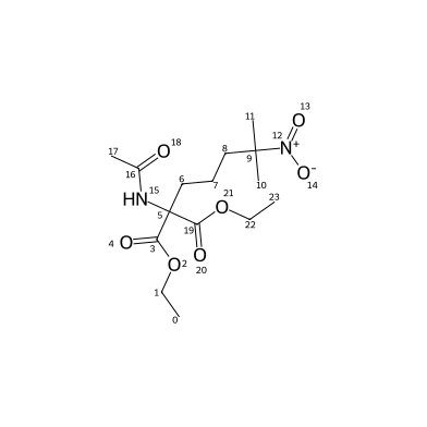 CCOC(=O)C(CCCC(C)(C)[N+](=O)[O-])(NC(C)=O)C(=O)OCC